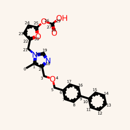 Cc1c(COCc2ccc(-c3ccccc3)cc2)ncn1Cc1ccc(OC(=O)O)o1